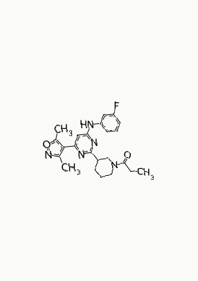 CCC(=O)N1CCCC(c2nc(Nc3cccc(F)c3)cc(-c3c(C)noc3C)n2)C1